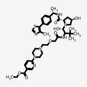 CCOC(=O)c1ccc(N2CCN(CCOCC(=O)NC([C@H](O)N3C[C@H](O)C[C@H]3C(=O)N[C@@H](C)c3ccc(-c4scnc4C)cc3)C(C)(C)C)CC2)nc1